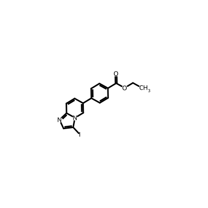 CCOC(=O)c1ccc(-c2ccc3ncc(I)n3c2)cc1